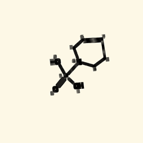 O=P(O)(O)N1CC=CCC1